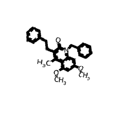 COc1cc(OC)c2c(C)c(CCc3ccccc3)c(=O)n(Cc3ccccc3)c2c1